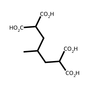 CC(CC(C(=O)O)C(=O)O)CC(C(=O)O)C(=O)O